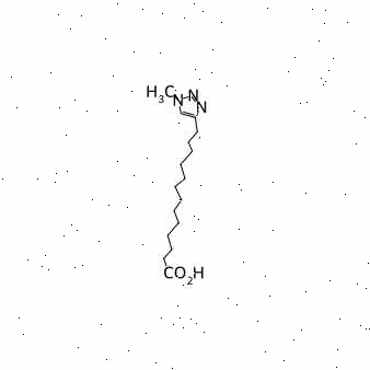 Cn1cc(CCCCCCCCCCCCC(=O)O)nn1